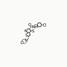 Cn1cc(C(=O)NCc2ccc(Cl)cc2)c(=S)c2cc(CN3CCOCC3)sc21